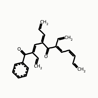 C=C/C=C\C=C(/C=C)C(=O)C(/C=C(\C=C)C(=O)c1ccccc1)=C/C=C